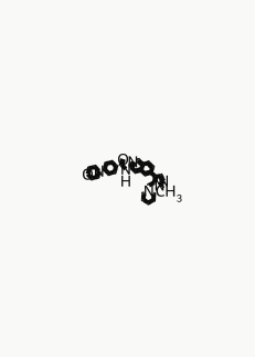 Cn1ncc(-c2ccc3cnc(NC(=O)[C@H]4CC[C@H](N5CCOCC5)CC4)cc3c2)c1CN1CCCCC1